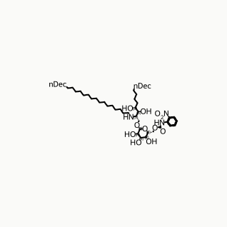 CCCCCCCCCCCCCCCCCCCCCCCCCCN[C@@H](CO[C@@H]1O[C@H](COC(=O)Nc2ccccc2[N+](=O)[O-])[C@H](O)[C@H](O)[C@H]1O)[C@H](O)[C@H](O)CCCCCCCCCCCCCC